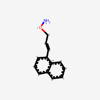 NOCC=Cc1cccc2ccccc12